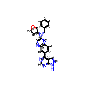 c1ccc(CN(c2cnc3cc(-c4ncnc5[nH]ncc45)ccc3n2)[C@@H]2CCOC2)cc1